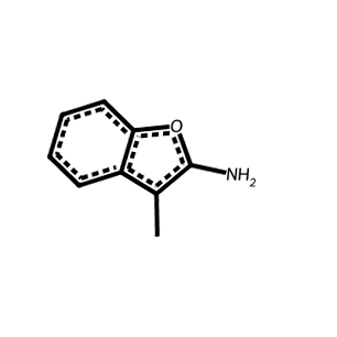 Cc1c(N)oc2ccccc12